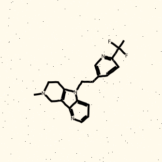 CN1CCc2c(c3ncccc3n2CCc2ccc(C(C)(F)F)nc2)C1